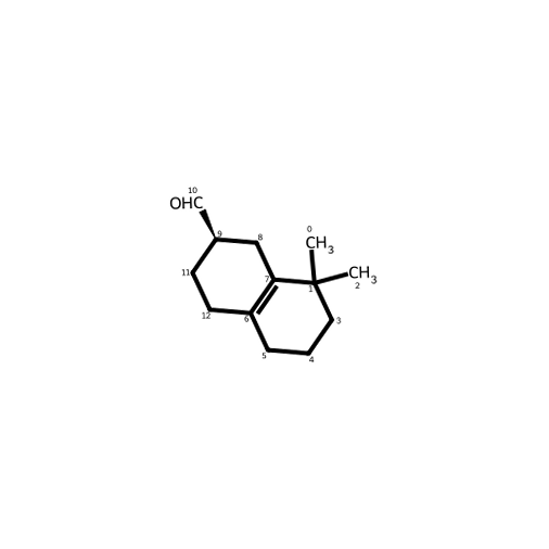 CC1(C)CCCC2=C1C[C@H](C=O)CC2